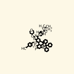 C#CC1=CC=C(COc2c(-c3c(C)c(F)cc4nn(C(c5ccccc5)(c5ccccc5)c5ccccc5)cc34)c(C3CC3)cc3c(N4C[C@@H]5C[C@H]4CN5C(=O)OC(C)(C)C)nc(OC4CCOCC4)nc23)CC1